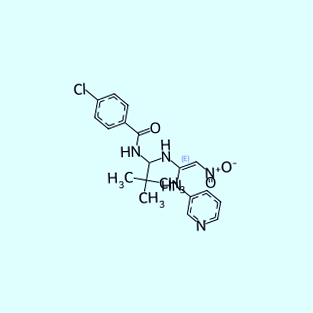 CC(C)(C)C(NC(=O)c1ccc(Cl)cc1)N/C(=C/[N+](=O)[O-])Nc1cccnc1